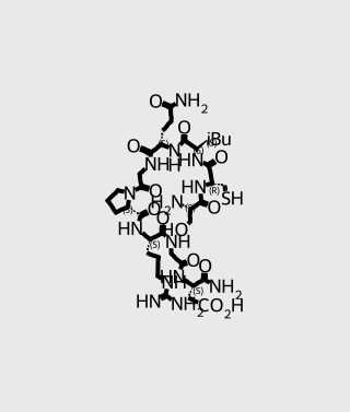 CC[C@H](C)[C@H](NC(=O)[C@H](CS)NC(=O)[C@@H](N)CO)C(=O)N[C@@H](CCC(N)=O)C(=O)NCC(=O)N1CCC[C@H]1C(=O)N[C@@H](CCCNC(=N)N)C(=O)NCC(=O)N[C@@H](CC(=O)O)C(N)=O